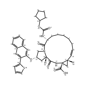 O=C(N[C@@H]1CCCCC/C=C\[C@@H]2C[C@]2(C(=O)O)NC(=O)[C@@H]2C[C@H](Oc3nc4ccccc4nc3-c3cccs3)CN2C1=O)OC1CCCC1